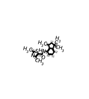 Cc1nc(C)c(C(=O)Nc2cccc3c2C(C)CC3(C)C)s1